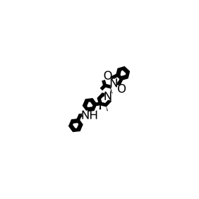 CC(C)[C@@H](CN1CC[C@@](C)(c2cccc(NCc3ccccc3)c2)[C@@H](C)C1)N1C(=O)c2ccccc2C1=O